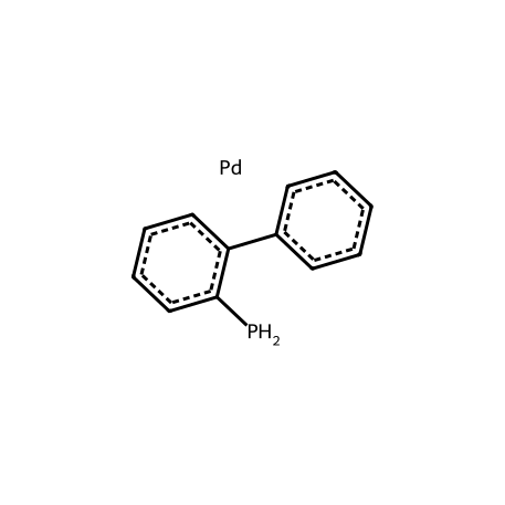 Pc1ccccc1-c1ccccc1.[Pd]